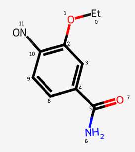 CCOc1cc(C(N)=O)ccc1N=O